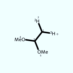 [2H]C([2H])C(OC)OC